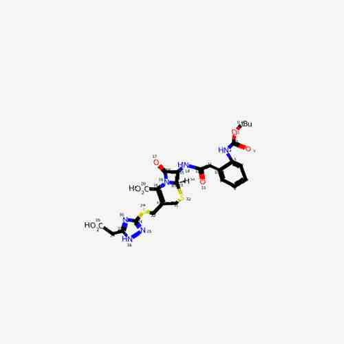 CC(C)(C)OC(=O)Nc1ccccc1CC(=O)NC1C(=O)N2C(C(=O)O)=C(CSc3n[nH]c(CC(=O)O)n3)CS[C@H]12